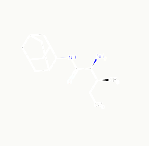 CC[C@H](C)[C@H](N)C(=O)NC1C2CC3CC(C2)CC1C3